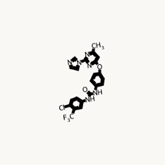 Cc1cc(Oc2ccc(NC(=O)Nc3ccc(Cl)c(C(F)(F)F)c3)cc2)nc(-n2ccnc2)n1